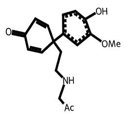 COc1cc(C2(CCNCC(C)=O)C=CC(=O)C=C2)ccc1O